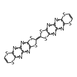 C1=CSc2nc3nc4c(nc3nc2S1)SC(=C1Sc2nc3nc5c(nc3nc2S1)SC=CS5)S4